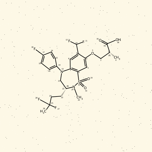 C[C@H](COc1cc2c(cc1C(F)F)N(c1ccc(F)cc1)C[C@@H](CCC(C)(F)F)N(C)S2(=O)=O)C(=O)O